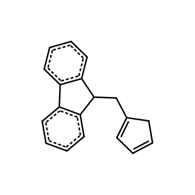 C1=CCC(CC2c3ccccc3-c3ccccc32)=C1